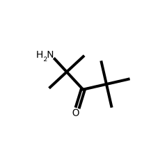 CC(C)(C)C(=O)C(C)(C)N